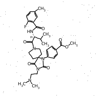 COC(=O)c1ccc(N2C(=O)N(CCN(C)C)C(=O)C23CCN(C(=O)[C@H](NC(=O)c2cc(C)ccc2F)C(C)C)CC3)cc1